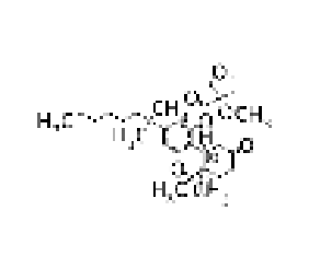 CCCCCCC(C)(C)c1cc(OC(=O)C2(OC)CCOC2)c2c(c1)OC(C)(C)[C@@H]1CCC(=O)C[C@@H]21